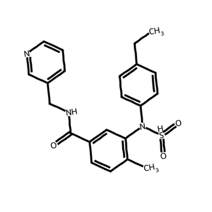 CCc1ccc(N(c2cc(C(=O)NCc3cccnc3)ccc2C)[SH](=O)=O)cc1